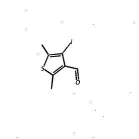 Cc1sc(C)c(C=O)c1I